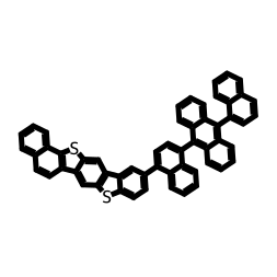 c1ccc2c(-c3c4ccccc4c(-c4ccc(-c5ccc6sc7cc8c(cc7c6c5)sc5c6ccccc6ccc85)c5ccccc45)c4ccccc34)cccc2c1